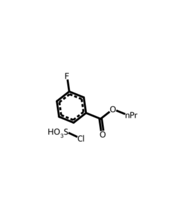 CCCOC(=O)c1cccc(F)c1.O=S(=O)(O)Cl